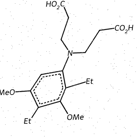 CCc1c(OC)cc(N(CCC(=O)O)CCC(=O)O)c(CC)c1OC